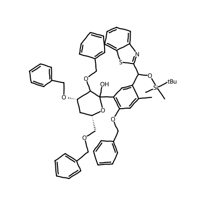 Cc1cc(OCc2ccccc2)c(C2(O)O[C@H](COCc3ccccc3)C[C@H](OCc3ccccc3)C2OCc2ccccc2)cc1C(O[Si](C)(C)C(C)(C)C)c1nc2ccccc2s1